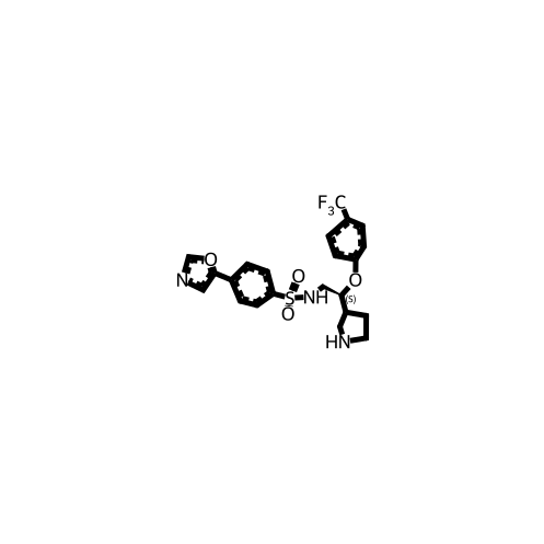 O=S(=O)(NC[C@@H](Oc1ccc(C(F)(F)F)cc1)C1CCNC1)c1ccc(-c2cnco2)cc1